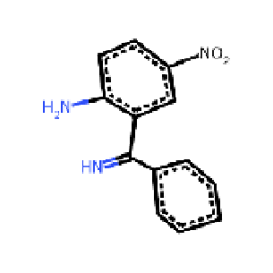 N=C(c1ccccc1)c1cc([N+](=O)[O-])ccc1N